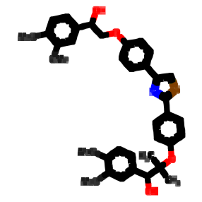 COc1ccc(C(O)COc2ccc(-c3csc(-c4ccc(OC(C)(C)C(O)c5ccc(OC)c(OC)c5)cc4)n3)cc2)cc1OC